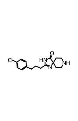 O=C1NC(CCCc2ccc(Cl)cc2)=NC12CCNCC2